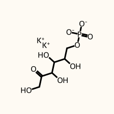 O=C(CO)C(O)C(O)C(O)COP(=O)([O-])[O-].[K+].[K+]